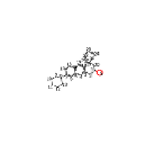 O=C1Cc2cc3cc(C4CCCCC4)ccc3cc2C2(C1)CC1C=CC2C1